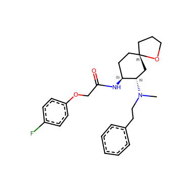 CN(CCc1ccccc1)[C@H]1C[C@]2(CCCO2)CC[C@@H]1NC(=O)COc1ccc(F)cc1